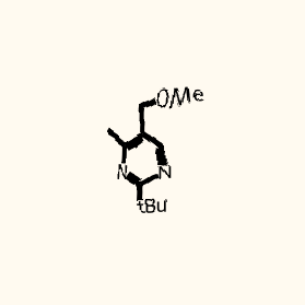 COCc1cnc(C(C)(C)C)nc1C